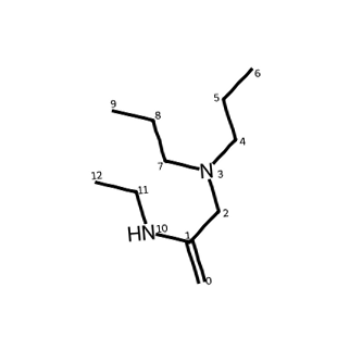 C=C(CN(CCC)CCC)NCC